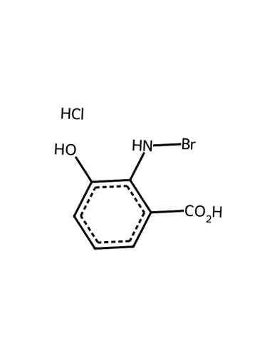 Cl.O=C(O)c1cccc(O)c1NBr